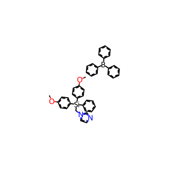 COc1ccc([Si](Cn2ccnc2)(c2ccccc2)c2ccc(OC)cc2)cc1.c1ccc(B(c2ccccc2)c2ccccc2)cc1